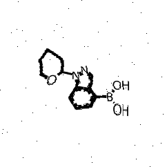 OB(O)c1cccc2c1cnn2C1CCCCO1